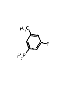 Cc1cc(F)cc(P)c1